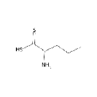 CCCC(N)C(=S)S